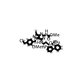 CCC[C@@H](CCO[Si](c1ccccc1)(c1ccccc1)C(C)(C)C)Nc1nc(NC(=O)OC)nc2c(C)nn(Cc3ccc(CCl)cc3OC)c12